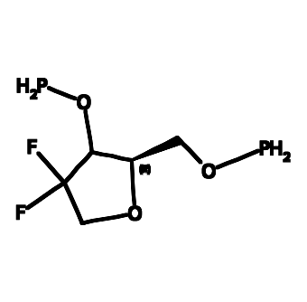 FC1(F)CO[C@H](COP)C1OP